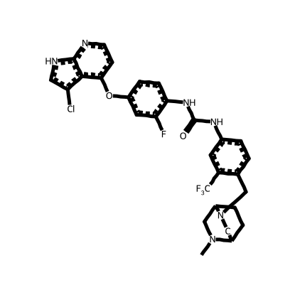 CN1CC2CCC1CN2Cc1ccc(NC(=O)Nc2ccc(Oc3ccnc4[nH]cc(Cl)c34)cc2F)cc1C(F)(F)F